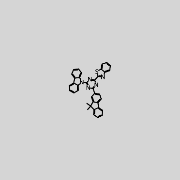 CC1(C)c2ccccc2-c2ccc(-c3nc(-c4nc5ccccc5s4)nc(-n4c5ccccc5c5ccccc54)n3)cc21